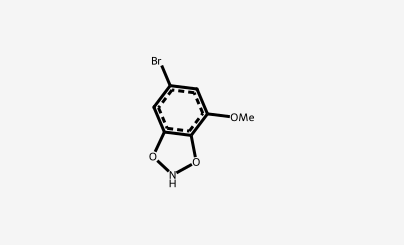 COc1cc(Br)cc2c1ONO2